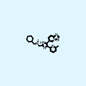 Cc1cccc(-c2nc(CN(I)CC3CCCCC3)[nH]c2-c2ccc3ncnn3c2)n1